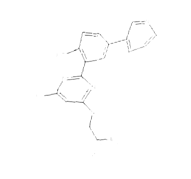 CC[C@@H](N)CNc1cc(C)nc(-c2cc(-c3cccnc3)ccc2O)n1